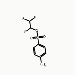 Cc1ccc(S(=O)(=O)OC(F)C(F)F)cc1